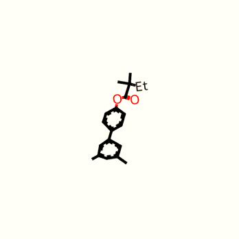 CCC(C)(C)C(=O)Oc1ccc(-c2cc(C)cc(C)c2)cc1